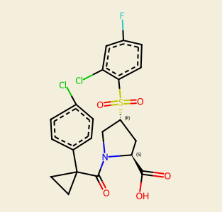 O=C(O)[C@@H]1C[C@@H](S(=O)(=O)c2ccc(F)cc2Cl)CN1C(=O)C1(c2ccc(Cl)cc2)CC1